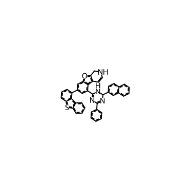 C1=Cc2c(oc3cc(-c4cccc5sc6ccccc6c45)cc(C4=NC(c5ccccc5)=NC(c5ccc6ccccc6c5)N4)c23)CN1